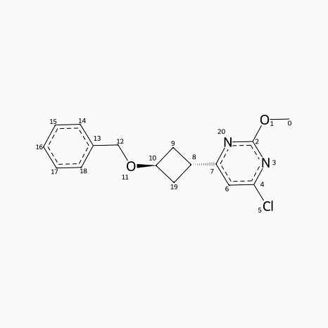 COc1nc(Cl)cc([C@H]2C[C@H](OCc3ccccc3)C2)n1